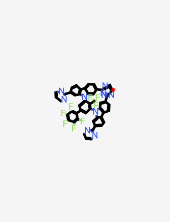 Fc1c(F)c(F)c(-c2cc(-n3c4cc(-c5ncccn5)ccc4c4ccc(-c5ncccn5)cc43)c(C(F)(F)F)c(-n3c4cc(-c5ncccn5)ccc4c4ccc(-c5ncccn5)cc43)c2)c(F)c1F